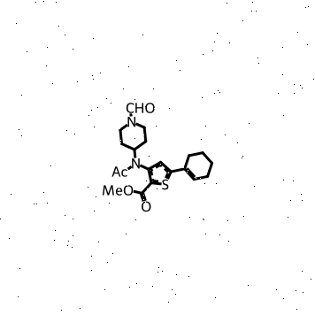 COC(=O)c1sc(C2=CCCCC2)cc1N(C(C)=O)C1CCN(C=O)CC1